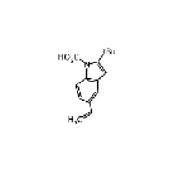 C=Cc1ccc2c(c1)cc(C(C)(C)C)n2C(=O)O